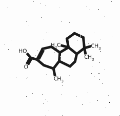 CC1CC(C(=O)O)=CCC2C1CCC1C(C)(C)CCCC21C